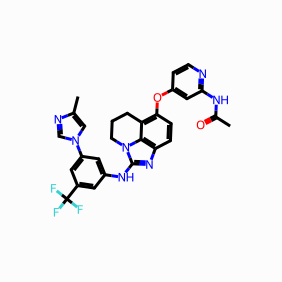 CC(=O)Nc1cc(Oc2ccc3nc(Nc4cc(-n5cnc(C)c5)cc(C(F)(F)F)c4)n4c3c2CCC4)ccn1